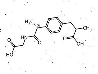 CC(Cc1ccc([C@@H](C)C(=O)NCC(=O)O)cc1)C(=O)O